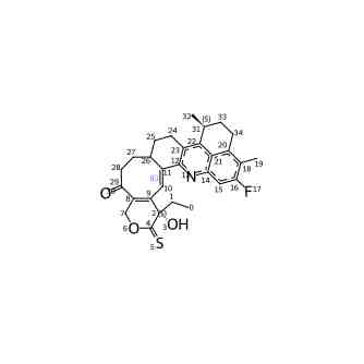 CC[C@@]1(O)C(=S)OCC2=C1/C=C1/c3nc4cc(F)c(C)c5c4c(c3CCC1CCC2=O)[C@@H](C)CC5